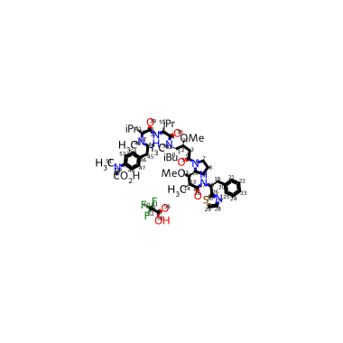 CC[C@H](C)[C@@H]([C@@H](CC(=O)N1CCC[C@H]1C(OC)[C@@H](C)C(=O)N[C@@H](Cc1ccccc1)c1nccs1)OC)N(C)C(=O)[C@@H](NC(=O)[C@H](C(C)C)N(C)CCc1ccc(N(C)C(=O)O)cc1)C(C)C.O=C(O)C(F)(F)F